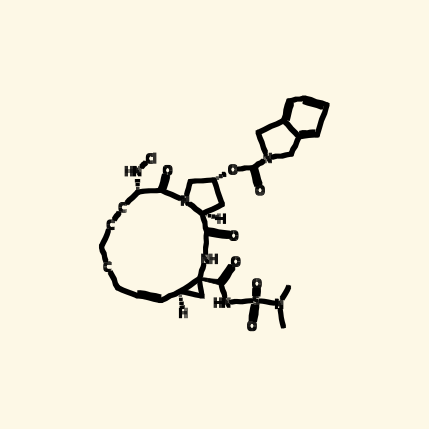 CN(C)S(=O)(=O)NC(=O)[C@@]12C[C@H]1/C=C\CCCCC[C@H](NCl)C(=O)N1C[C@H](OC(=O)N3Cc4ccccc4C3)C[C@H]1C(=O)N2